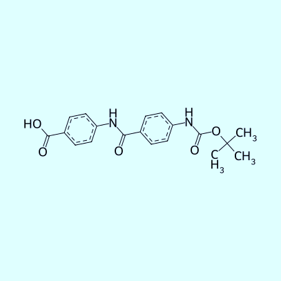 CC(C)(C)OC(=O)Nc1ccc(C(=O)Nc2ccc(C(=O)O)cc2)cc1